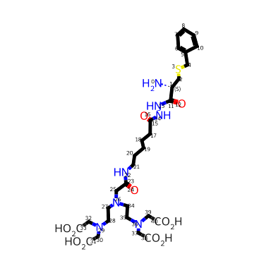 N[C@H](CSCc1ccccc1)C(=O)NNC(=O)CCCCCNC(=O)CN(CCN(CC(=O)O)CC(=O)O)CCN(CC(=O)O)CC(=O)O